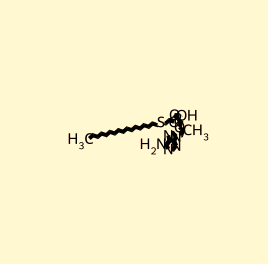 CCCCCCCCCCCCCCCCCSCCOP(=O)(O)CO[C@H](C)Cn1cnc2c(N)ncnc21